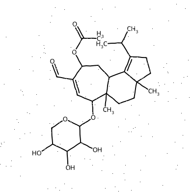 CC(=O)OC1CC2C3=C(C(C)C)CCC3(C)CCC2(C)C(OC2OCC(O)C(O)C2O)C=C1C=O